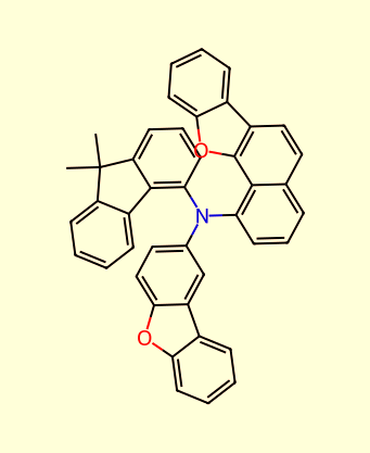 CC1(C)c2ccccc2-c2c(N(c3ccc4oc5ccccc5c4c3)c3cccc4ccc5c6ccccc6oc5c34)cccc21